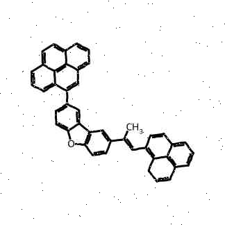 C/C(=C\c1ccc2cccc3c2c1CC=C3)c1ccc2oc3ccc(-c4cc5cccc6ccc7cccc4c7c65)cc3c2c1